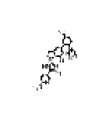 N#Cc1ccc(-n2cnnn2)c(-c2cc3n(c(=O)c2)[C@H](c2nc(Cl)c(-c4ccc(N)nc4)[nH]2)CC3)c1